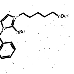 CCCCCCCCCCCCCCC[n+]1ccn(Cc2ccccc2)c1CCCC